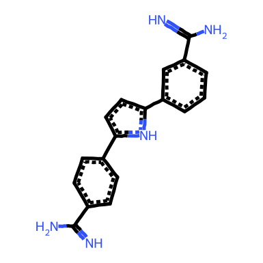 N=C(N)c1ccc(-c2ccc(-c3cccc(C(=N)N)c3)[nH]2)cc1